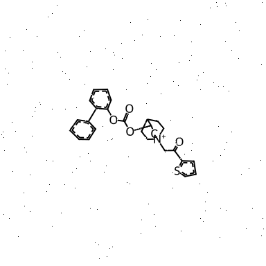 O=C(Oc1ccccc1-c1ccccc1)OC1C[N+]2(CC(=O)c3cccs3)CCC1CC2